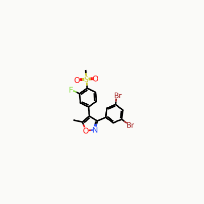 Cc1onc(-c2cc(Br)cc(Br)c2)c1-c1ccc(S(C)(=O)=O)c(F)c1